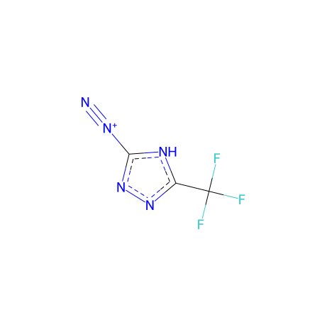 N#[N+]c1nnc(C(F)(F)F)[nH]1